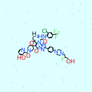 C[C@H]1OC2(CCN(C(=O)c3ncccc3O)CC2)c2c1n(CC(=O)Nc1ccc(C(F)(F)F)cc1Cl)c1nc(-c3ccc(N4CCN(CC(F)CO)CC4)cc3)nn1c2=O